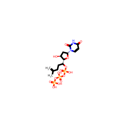 C=C(C)CCC(OP(=O)(O)OP(=O)(O)OP(=O)(O)O)[C@H]1O[C@@H](n2ccc(=O)[nH]c2=O)C[C@@H]1O